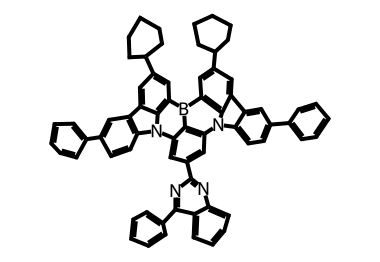 c1ccc(-c2ccc3c(c2)c2cc(C4CCCCC4)cc4c2n3-c2cc(-c3nc(-c5ccccc5)c5ccccc5n3)cc3c2B4c2cc(C4CCCCC4)cc4c5cc(-c6ccccc6)ccc5n-3c24)cc1